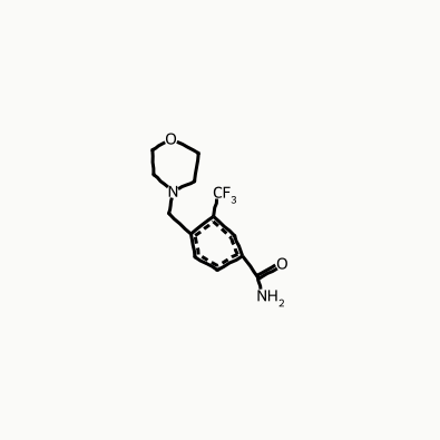 NC(=O)c1ccc(CN2CCOCC2)c(C(F)(F)F)c1